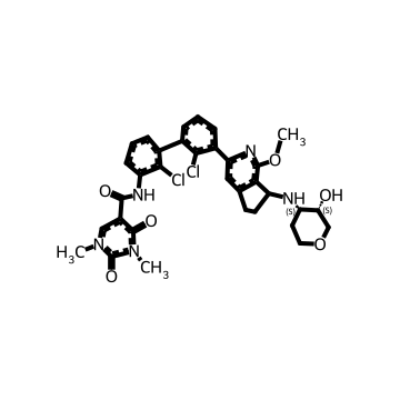 COc1nc(-c2cccc(-c3cccc(NC(=O)c4cn(C)c(=O)n(C)c4=O)c3Cl)c2Cl)cc2c1C(N[C@H]1CCOC[C@H]1O)CC2